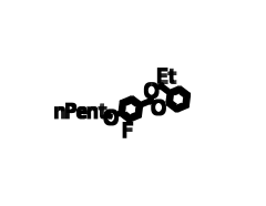 CCCCCOc1ccc(C(=O)OC(CC)c2ccccc2)cc1F